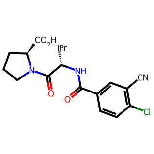 CC(C)[C@H](NC(=O)c1ccc(Cl)c(C#N)c1)C(=O)N1CCC[C@H]1C(=O)O